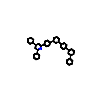 c1ccc(-c2cccc(-c3ccc(-c4cccc(-c5ccc(-c6cc(-c7ccccc7)cc(-c7ccccc7)n6)cc5)c4)cc3)c2)cc1